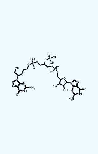 Nc1nc2c(ncn2C(CO)OCCOP(=O)(O)OCC(COP(=O)(O)OC[C@H]2O[C@@H](n3cnc4c(=O)[nH]c(N)nc43)C(O)C2O)OP(=O)(O)O)c(=O)[nH]1